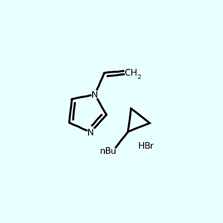 Br.C=Cn1ccnc1.CCCCC1CC1